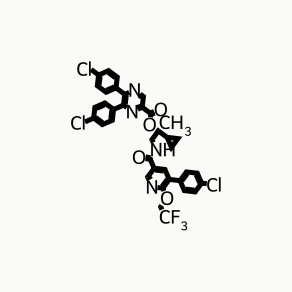 CC(CNC(=O)c1cnc(OCC(F)(F)F)c(-c2ccc(Cl)cc2)c1)(OC(=O)c1cnc(-c2ccc(Cl)cc2)c(-c2ccc(Cl)cc2)n1)C1CC1